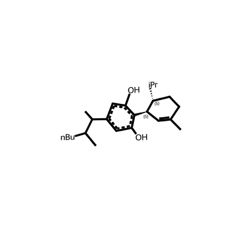 CCCCC(C)C(C)c1cc(O)c([C@@H]2C=C(C)CC[C@H]2C(C)C)c(O)c1